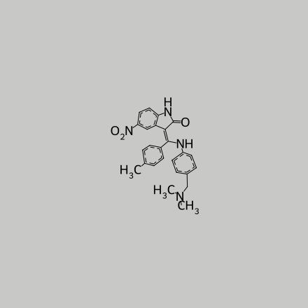 Cc1ccc(/C(Nc2ccc(CN(C)C)cc2)=C2/C(=O)Nc3ccc([N+](=O)[O-])cc32)cc1